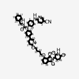 N#Cc1ccc(N[C@H]2CC[C@H](N(C(=O)NCc3ccccc3)c3ccc(-c4ccc(OCCCCOc5cccc6c5C(=O)N(C5CCC(=O)NC5=O)C6=O)nc4)cc3)CC2)nc1